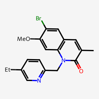 CCc1ccc(Cn2c(=O)c(C)cc3cc(Br)c(OC)cc32)nc1